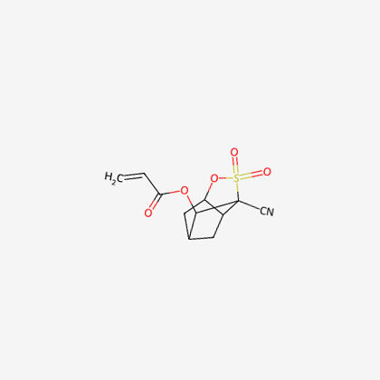 C=CC(=O)OC1C2CC3OS(=O)(=O)C1(C#N)C3C2